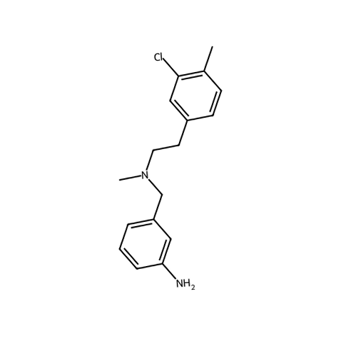 Cc1ccc(CCN(C)Cc2cccc(N)c2)cc1Cl